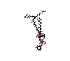 CCCCC/C=C\C/C=C\CCCCCCCCC1(CCCCCCCC/C=C\C/C=C\CCCCC)O[C@H]2CCN(C(=O)OCc3ccccc3)CC[C@H]2O1